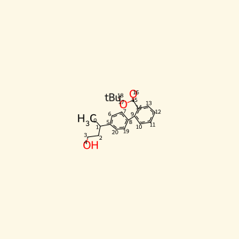 CC(CCO)c1ccc(-c2ccccc2C(=O)OC(C)(C)C)cc1